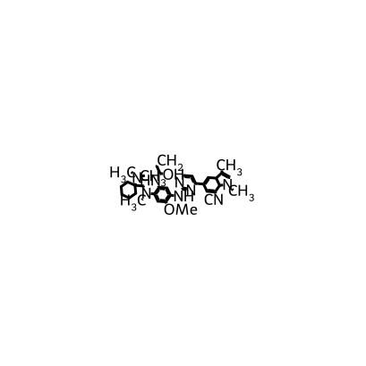 C=CC(O)Nc1cc(Nc2nccc(C3=CC4C(C)=CN(C)C4C(C#N)=C3)n2)c(OC)cc1N(C)CC1(N(C)C)CCCCC1